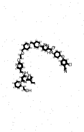 CCc1cnn2c(NCc3ccc(OCCOCC4CCN(CC5CCN(c6ccc(C(=O)N[C@H]7CC[C@H](Oc8ccc(C#N)c(Cl)c8)CC7)nn6)CC5)CC4)nc3)cc(N3CCCC[C@H]3CCO)nc12